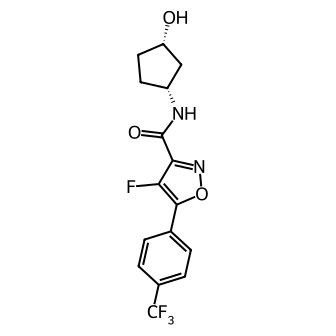 O=C(N[C@@H]1CC[C@H](O)C1)c1noc(-c2ccc(C(F)(F)F)cc2)c1F